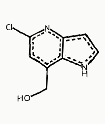 OCc1cc(Cl)nc2cc[nH]c12